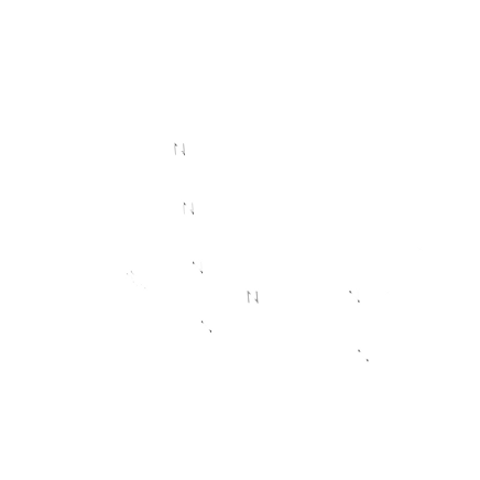 C1=CC2c3ccccc3N(C3=C(c4nc(-c5ccccc5)nc(-c5cccc(-c6ccccn6)c5CCn5c6ccccc6c6ccccc65)n4)C=CCC3c3ccccn3)C2C=C1